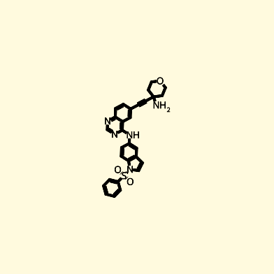 NC1(C#Cc2ccc3ncnc(Nc4ccc5c(ccn5S(=O)(=O)c5ccccc5)c4)c3c2)CCOCC1